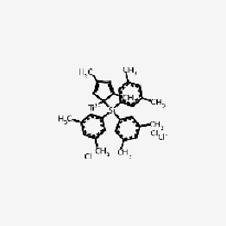 CC1=C[C]([Ti+3])([Si](c2cc(C)cc(C)c2)(c2cc(C)cc(C)c2)c2cc(C)cc(C)c2)C(C)=C1.[Cl-].[Cl-].[Cl-]